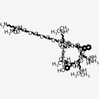 CC(=O)NC1CCSSCC(C(=O)NC(CCCCNC(C)C)C(=O)NCCOCCOCCOCCOCCOCCOCCC(=O)NC(CCCCN)C(N)=O)NC(=O)CNC(=O)C(Cc2ccc3ccccc3c2)NC(=O)[C@@H](CCCNC(=N)N)NC(=O)C(CCCCNC(C)C)NC(=O)C(Cc2ccc(O)cc2)NC1=O